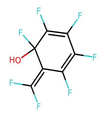 OC1(F)C(F)=C(F)C(F)=C(F)C1=C(F)F